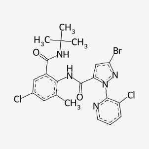 Cc1cc(Cl)cc(C(=O)NC(C)(C)C)c1NC(=O)c1cc(Br)nn1-c1ncccc1Cl